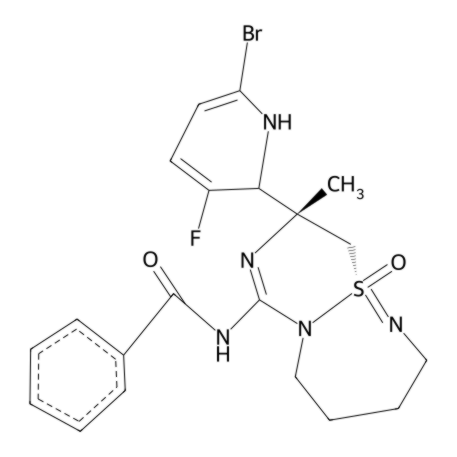 C[C@@]1(C2NC(Br)=CC=C2F)C[S@]2(=O)=NCCCCN2C(NC(=O)c2ccccc2)=N1